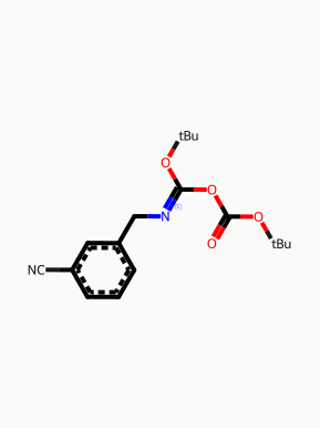 CC(C)(C)OC(=O)O/C(=N/Cc1cccc(C#N)c1)OC(C)(C)C